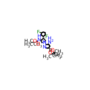 CC(C)(C)OC(=O)N[C@H]1CN(c2ncc(B3OC(C)(C)C(C)(C)O3)cc2N)C[C@@H]1c1cc(F)ccc1F